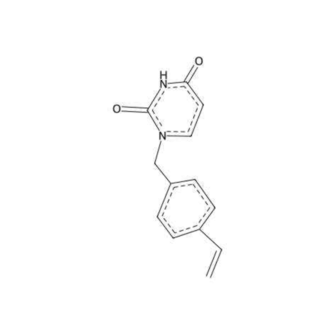 C=Cc1ccc(Cn2ccc(=O)[nH]c2=O)cc1